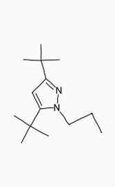 CCCn1nc(C(C)(C)C)cc1C(C)(C)C